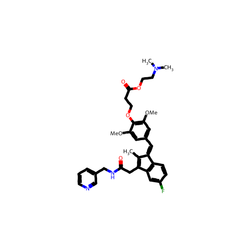 COc1cc(C=C2C(C)=C(CC(=O)NCc3cccnc3)c3cc(F)ccc32)cc(OC)c1OCCC(=O)OCCN(C)C